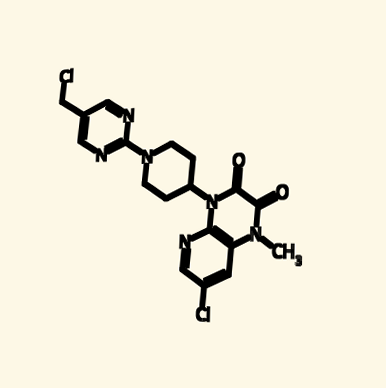 Cn1c(=O)c(=O)n(C2CCN(c3ncc(CCl)cn3)CC2)c2ncc(Cl)cc21